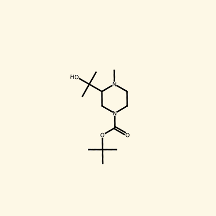 CN1CCN(C(=O)OC(C)(C)C)CC1C(C)(C)O